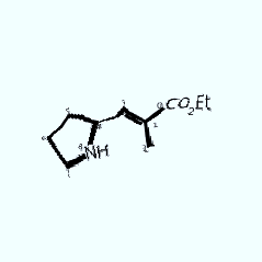 CCOC(=O)/C(C)=C/[C@@H]1CCCN1